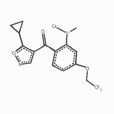 C[S+]([O-])c1cc(OCC(F)(F)F)ccc1C(=O)c1cnoc1C1CC1